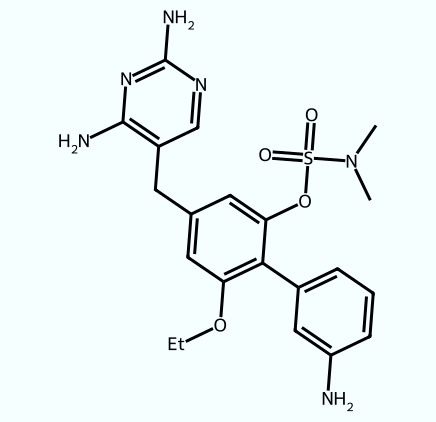 CCOc1cc(Cc2cnc(N)nc2N)cc(OS(=O)(=O)N(C)C)c1-c1cccc(N)c1